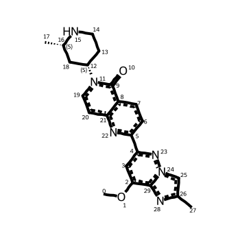 COc1cc(-c2ccc3c(=O)n([C@H]4CCN[C@@H](C)C4)ccc3n2)nn2cc(C)nc12